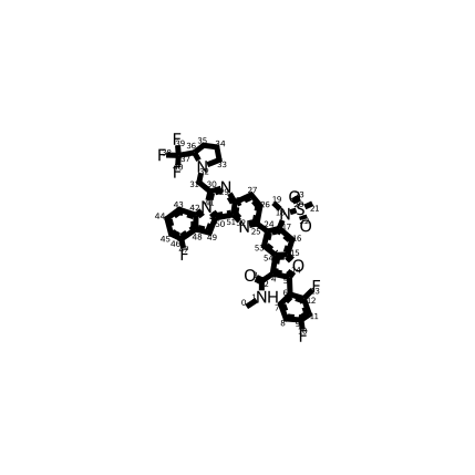 CNC(=O)c1c(-c2ccc(F)cc2F)oc2cc(N(C)S(C)(=O)=O)c(-c3ccc4nc(CN5CCCC5C(F)(F)F)n5c6cccc(F)c6cc5c4n3)cc12